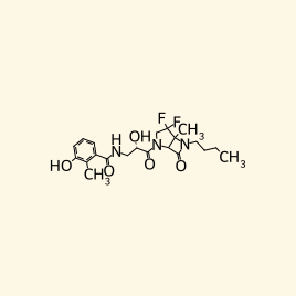 CCCCN1C(=O)C2N(C(=O)[C@@H](O)CNC(=O)c3cccc(O)c3C)CC(F)(F)C21C